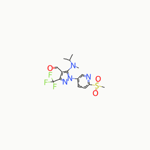 CC(C)N(C)c1c(C=O)c(C(F)(F)F)nn1-c1ccc(S(C)(=O)=O)nc1